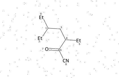 CCC(CC)CC(CC)C(=O)C#N